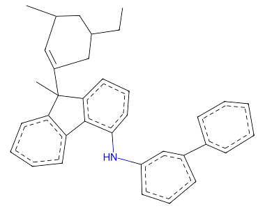 CCC1CC(C2(C)c3ccccc3-c3c(Nc4cccc(-c5ccccc5)c4)cccc32)=CC(C)C1